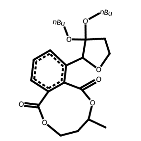 CCCCOC1(OCCCC)CCOC1c1cccc2c1C(=O)OC(C)CCOC2=O